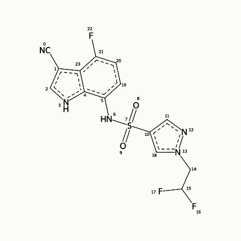 N#Cc1c[nH]c2c(NS(=O)(=O)c3cnn(CC(F)F)c3)ccc(F)c12